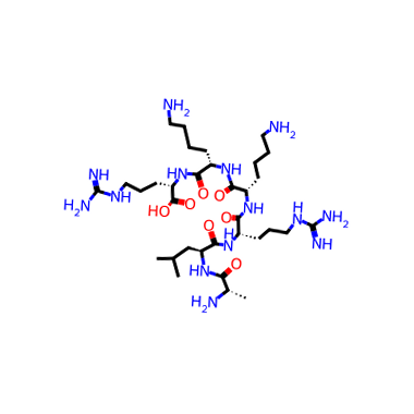 CC(C)C[C@H](NC(=O)[C@H](C)N)C(=O)N[C@@H](CCCNC(=N)N)C(=O)N[C@@H](CCCCN)C(=O)N[C@@H](CCCCN)C(=O)N[C@@H](CCCNC(=N)N)C(=O)O